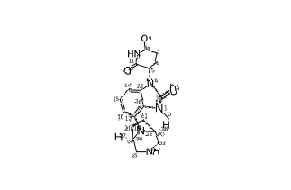 Cn1c(=O)n(C2CCC(=O)NC2=O)c2cccc(N3[C@@H]4CC[C@H]3CNC4)c21